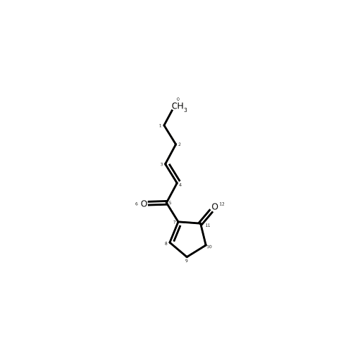 CCCC=CC(=O)C1=CCCC1=O